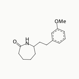 COc1cccc(CCC2CCCCC(=O)N2)c1